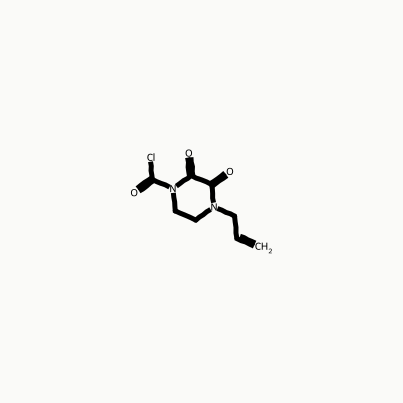 C=CCN1CCN(C(=O)Cl)C(=O)C1=O